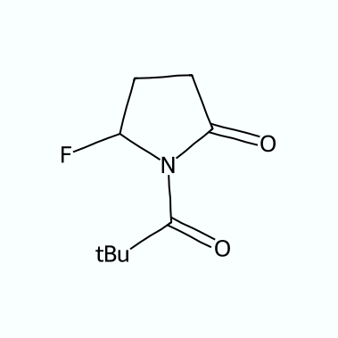 CC(C)(C)C(=O)N1C(=O)CCC1F